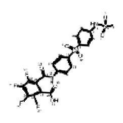 CS(=O)(=O)Nc1ccc(S(=O)(=O)c2ccc(NC(=O)c3c(F)c(F)c(F)c(F)c3C(=O)O)cc2)cc1